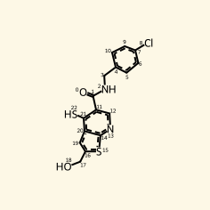 O=C(NCc1ccc(Cl)cc1)c1cnc2sc(CO)cc2c1S